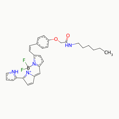 CCCCCCNC(=O)COc1ccc(/C=C\c2ccc3n2[B-](F)(F)[N+]2=C(c4ccc[nH]4)C=CC2=C3)cc1